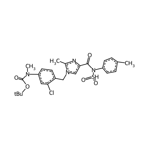 Cc1ccc(N(C(=O)c2cn(Cc3ccc(N(C)C(=O)OC(C)(C)C)cc3Cl)c(C)n2)[SH](=O)=O)cc1